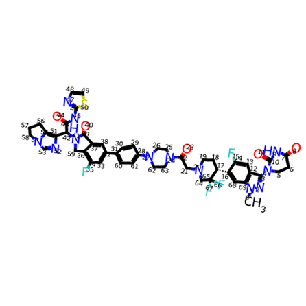 Cn1nc(N2CCC(=O)NC2=O)c2cc(F)c([C@H]3CCN(CC(=O)N4CCN(c5ccc(-c6cc(F)c7c(c6)C(=O)N(C(C(=O)Nc6nccs6)c6ncn8c6CCC8)C7)cc5)CC4)CC3(F)F)cc21